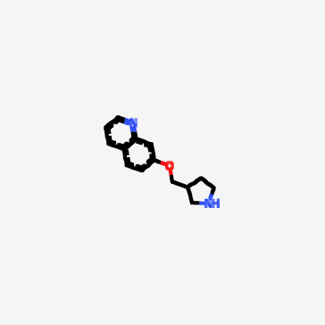 c1cnc2cc(OCC3CCNC3)ccc2c1